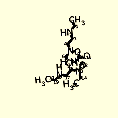 CCNCCN(CC)OP(N)(=O)ON(CC)CCNCC